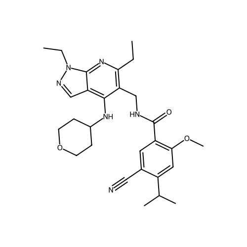 CCc1nc2c(cnn2CC)c(NC2CCOCC2)c1CNC(=O)c1cc(C#N)c(C(C)C)cc1OC